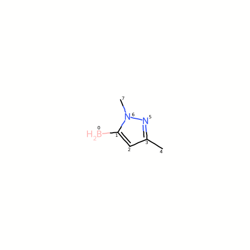 Bc1cc(C)nn1C